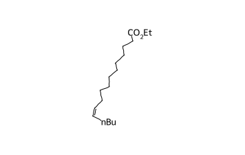 CCCC/C=C\CCCCCCCCCC(=O)OCC